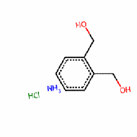 Cl.N.OCc1ccccc1CO